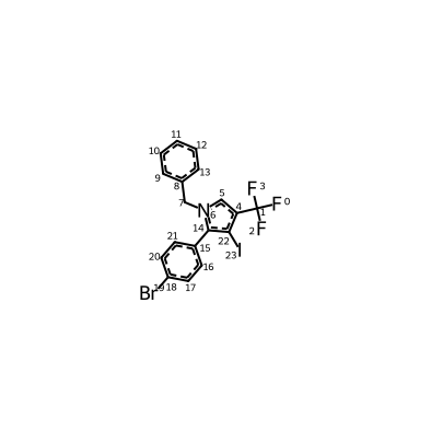 FC(F)(F)c1cn(Cc2ccccc2)c(-c2ccc(Br)cc2)c1I